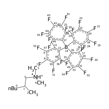 CCCCC(C)C[NH+](C)C.Fc1c(F)c(F)c([B-](c2c(F)c(F)c(F)c(F)c2F)(c2c(F)c(F)c(F)c(F)c2F)c2c(F)c(F)c(F)c(F)c2F)c(F)c1F